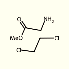 COC(=O)CN.ClCCCl